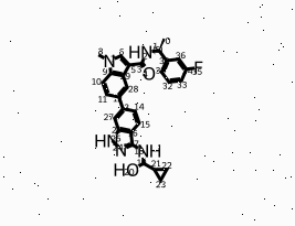 C[C@H](NC(=O)c1cn(C)c2ccc(-c3ccc4c(NC(O)C5CC5)n[nH]c4c3)cc12)c1cccc(F)c1